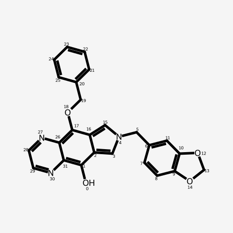 Oc1c2cn(Cc3ccc4c(c3)OCO4)cc2c(OCc2ccccc2)c2nccnc12